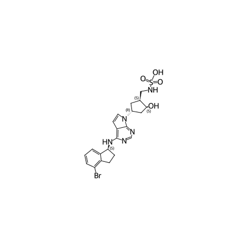 O=S(=O)(O)NC[C@@H]1C[C@@H](n2ccc3c(N[C@H]4CCc5c(Br)cccc54)ncnc32)C[C@@H]1O